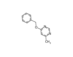 Cc1cc(OCc2ccccc2)ncn1